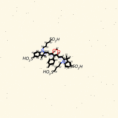 Cc1ccc(C2=C(/C=C/C3=[N+](CCCCS(=O)(=O)O)c4ccc(S(=O)(=O)O)cc4C3(C)C)OCO/C2=C\C=C2\N(CCCCS(=O)(=O)O)c3ccc(S(=O)(=O)O)cc3C2(C)C)cc1